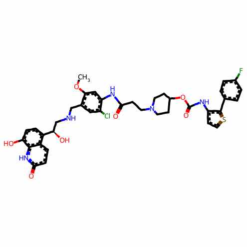 COc1cc(NC(=O)CCN2CCC(OC(=O)Nc3ccsc3-c3ccc(F)cc3)CC2)c(Cl)cc1CNC[C@@H](O)c1ccc(O)c2[nH]c(=O)ccc12